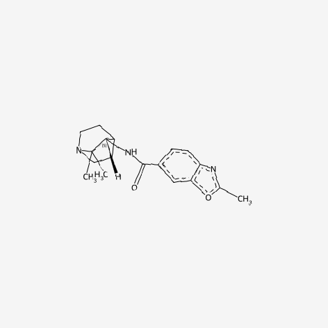 Cc1nc2ccc(C(=O)N[C@H]3C4CCN(CC4)C3(C)C)cc2o1